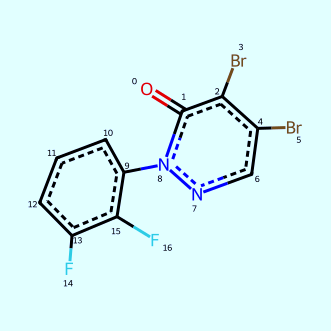 O=c1c(Br)c(Br)cnn1-c1cccc(F)c1F